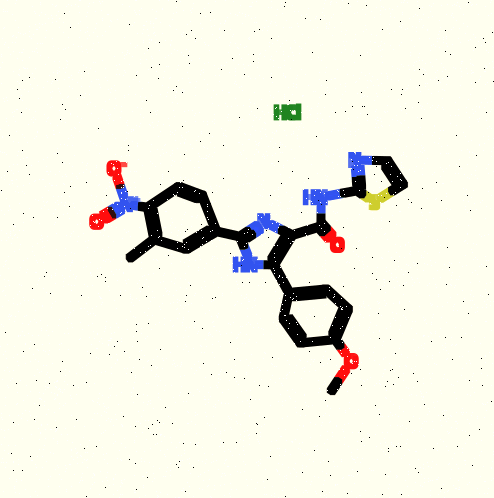 COc1ccc(-c2[nH]c(-c3ccc([N+](=O)[O-])c(C)c3)nc2C(=O)Nc2nccs2)cc1.Cl